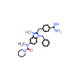 CN(C(=O)N1CCCCC1)c1ccc2c(c1)nc(Cc1ccc(C(=N)N)cc1)n2Cc1ccccc1.Cl